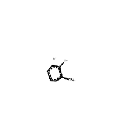 COc1ccccc1[O-].[Li+]